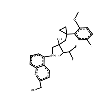 COc1ccc(F)cc1C1(CC(O)(CNc2cccc3nc(CO)ccc23)C(F)C(F)F)CC1